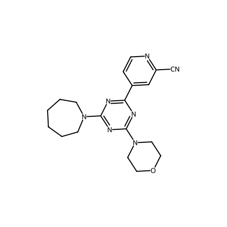 N#Cc1cc(-c2nc(N3CCCCCC3)nc(N3CCOCC3)n2)ccn1